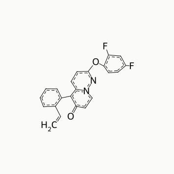 C=Cc1ccccc1-c1c(=O)ccn2nc(Oc3ccc(F)cc3F)ccc12